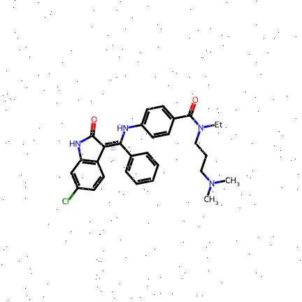 CCN(CCCN(C)C)C(=O)c1ccc(N/C(=C2\C(=O)Nc3cc(Cl)ccc32)c2ccccc2)cc1